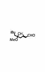 CCC(C)CC(C)(C/C=C/C=O)OC